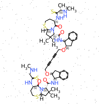 CNCC(=S)N[C@H]1CCS[C@H]2CC(C)(C)[C@@H](C(=O)N[C@H]3c4ccccc4C[C@H]3OCC#CC#CCO[C@@H]3Cc4ccccc4[C@@H]3NC(=O)[C@H]3N4C(=O)[C@@H](NC(=S)[C@H](C)NC)CCS[C@H]4CC3(C)C)N2C1=O